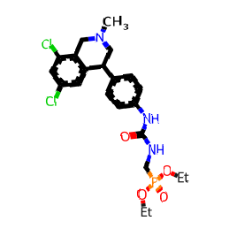 CCOP(=O)(CNC(=O)Nc1ccc(C2CN(C)Cc3c(Cl)cc(Cl)cc32)cc1)OCC